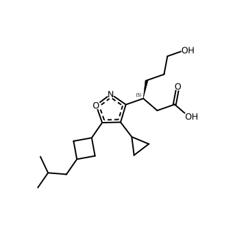 CC(C)CC1CC(c2onc([C@@H](CCCO)CC(=O)O)c2C2CC2)C1